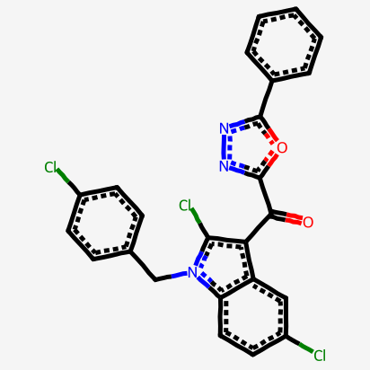 O=C(c1nnc(-c2ccccc2)o1)c1c(Cl)n(Cc2ccc(Cl)cc2)c2ccc(Cl)cc12